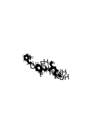 CCc1cc2[nH]c(O)nc2nc1NCc1c(F)cc(OCCC2CCCN2C)cc1F